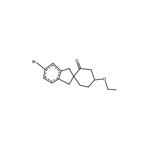 CCOC1CCC2(Cc3ccc(Br)cc3C2)C(=O)C1